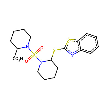 O=C(O)C1CCCCN1S(=O)(=O)N1CCCCC1Sc1nc2ccccc2s1